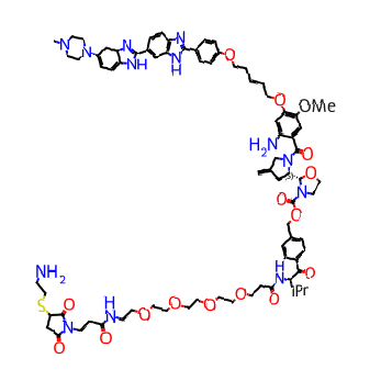 C=C1C[C@@H](C2OCCN2C(=O)OCc2ccc(C(=O)C(NC(=O)CCOCCOCCOCCOCCNC(=O)CCN3C(=O)CC(SCCN)C3=O)C(C)C)cc2)N(C(=O)c2cc(OC)c(OCCCCCOc3ccc(-c4nc5ccc(C6=NC7CC(N8CCN(C)CC8)=CC=C7N6)cc5[nH]4)cc3)cc2N)C1